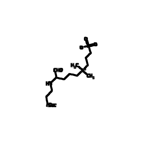 CCCCCCCCCCCCNC(C=O)CCC[N+](C)(C)CCCS(=O)(=O)[O-]